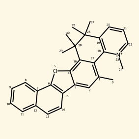 Cc1cc2c(oc3c4ccccc4ccc23)c2c1-c1c(ccc[n+]1C)C(C)(C)C2(C)C